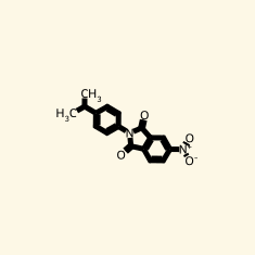 CC(C)c1ccc(N2C(=O)c3ccc([N+](=O)[O-])cc3C2=O)cc1